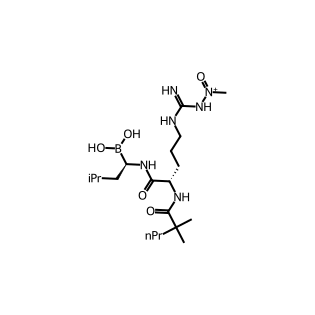 CCCC(C)(C)C(=O)N[C@@H](CCCNC(=N)N[N+](C)=O)C(=O)N[C@@H](CC(C)C)B(O)O